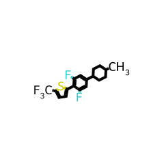 CC1CCC(c2cc(F)c(-c3ccc(C(F)(F)F)s3)c(F)c2)CC1